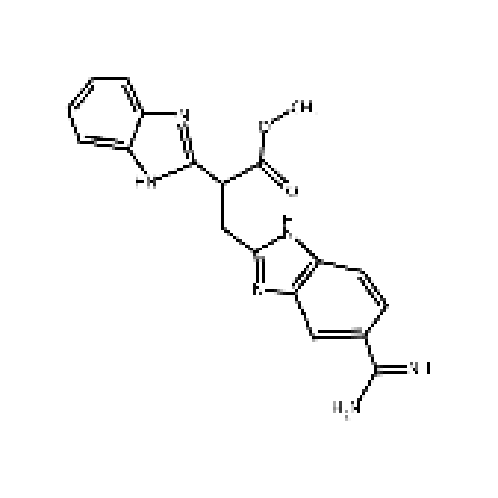 COC(=O)C(Cc1nc2cc(C(=N)N)ccc2[nH]1)c1nc2ccccc2[nH]1